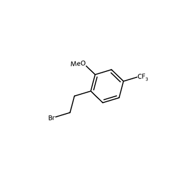 COc1cc(C(F)(F)F)ccc1CCBr